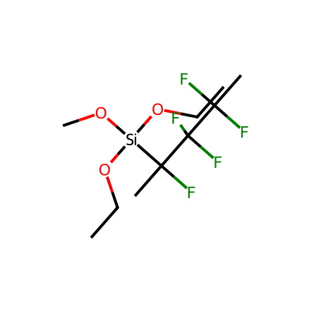 CCO[Si](OC)(OCC)C(C)(F)C(F)(F)C(C)(F)F